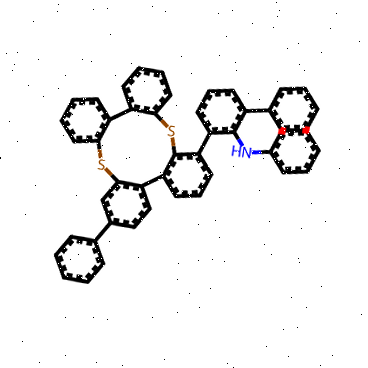 c1ccc(Nc2c(-c3ccccc3)cccc2-c2cccc3c2Sc2ccccc2-c2ccccc2Sc2cc(-c4ccccc4)ccc2-3)cc1